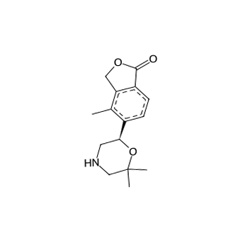 Cc1c([C@@H]2CNCC(C)(C)O2)ccc2c1COC2=O